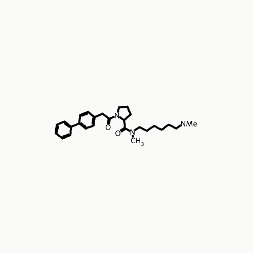 CNCCCCCCN(C)C(=O)C1CCCN1C(=O)Cc1ccc(-c2ccccc2)cc1